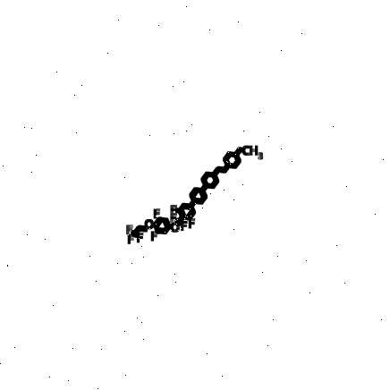 CCC1CCC(/C=C/C2CCC(c3ccc(-c4cc(F)c(C(F)(F)Oc5cc(F)c(O/C=C/C(F)(F)F)c(F)c5)c(F)c4)cc3)CC2)CC1